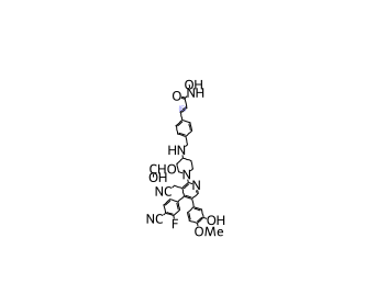 COc1ccc(-c2cnc(N3CCC(NCc4ccc(/C=C/C(=O)NO)cc4)CC3)c(CC#N)c2-c2ccc(C#N)c(F)c2)cc1O.O=CO